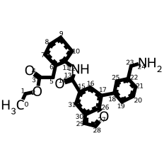 CCOC(=O)Cc1ccccc1NC(=O)c1cc(-c2cccc(CN)c2)c2occc2c1